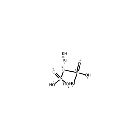 O=P(O)(O)OP(=O)(O)O.[KH].[KH]